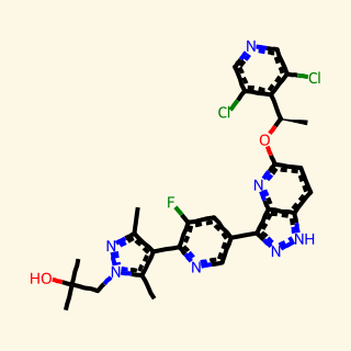 Cc1nn(CC(C)(C)O)c(C)c1-c1ncc(-c2n[nH]c3ccc(O[C@H](C)c4c(Cl)cncc4Cl)nc23)cc1F